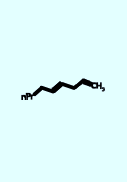 [CH2]CCCC=CCC=C